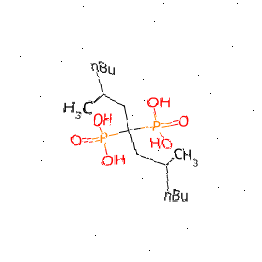 CCCCC(C)CC(CC(C)CCCC)(P(=O)(O)O)P(=O)(O)O